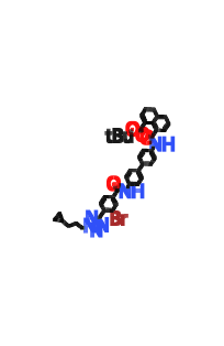 CC(C)(C)OC(=O)c1cccc2cccc(C(=O)Nc3ccc(-c4ccc(NC(=O)c5ccc(-c6nnn(CCCC7CC7)n6)c(Br)c5)cc4)cc3)c12